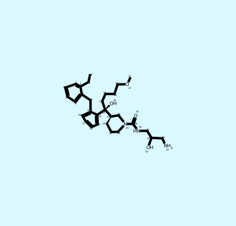 CCc1ccccc1Cc1ccccc1[C@](O)(CCCCOC)[C@@H]1CCCN(C(=O)NCC(O)CN)C1